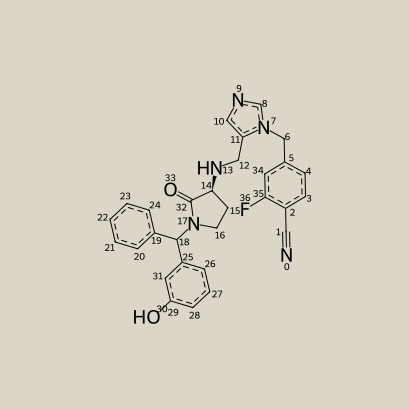 N#Cc1ccc(Cn2cncc2CN[C@H]2CCN(C(c3ccccc3)c3cccc(O)c3)C2=O)cc1F